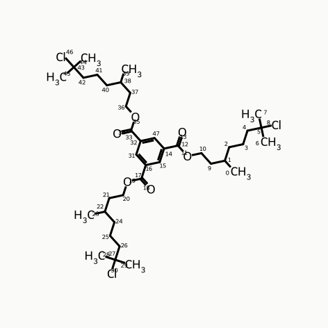 CC(CCCC(C)(C)Cl)CCOC(=O)c1cc(C(=O)OCCC(C)CCCC(C)(C)Cl)cc(C(=O)OCCC(C)CCCC(C)(C)Cl)c1